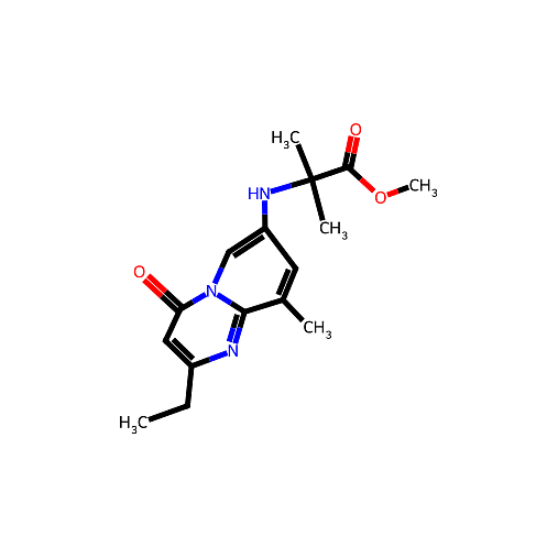 CCc1cc(=O)n2cc(NC(C)(C)C(=O)OC)cc(C)c2n1